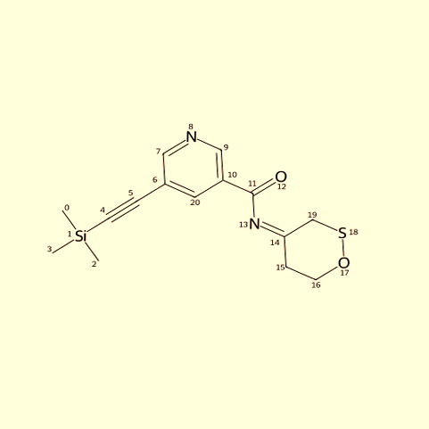 C[Si](C)(C)C#Cc1cncc(C(=O)N=C2CCOSC2)c1